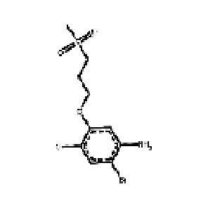 CS(=O)(=O)CCCOc1cc(N)c(Br)cc1Cl